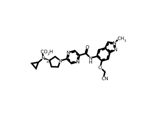 Cn1cc2cc(NC(=O)c3cnc(N4CC[C@@H](N(C(=O)O)C5CC5)C4)cn3)c(OCC#N)cc2n1